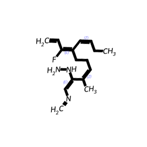 C=C/C(F)=C(\C=C/CC)CC/C=C(C)\C(=C/N=C)NN